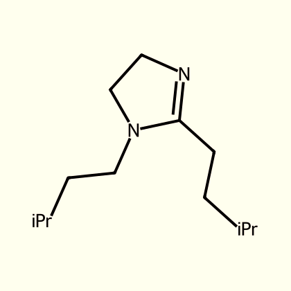 CC(C)CCC1=NCCN1CCC(C)C